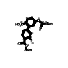 CCCCCCCCCOC(=O)c1ccc(-c2cc(OC(=O)CCCCCCCCC)ccc2C(=O)O)cc1F